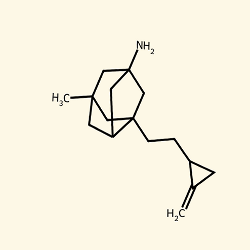 C=C1CC1CCC12CC3(C)CC1CC(N)(C3)C2